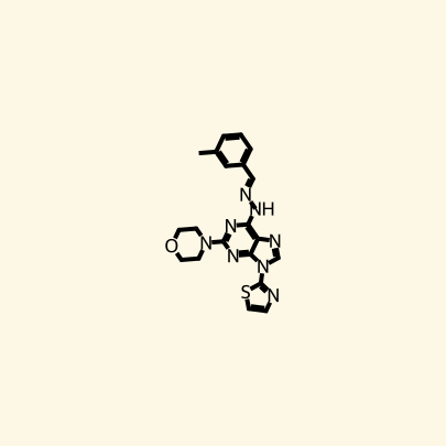 Cc1cccc(/C=N/Nc2nc(N3CCOCC3)nc3c2ncn3-c2nccs2)c1